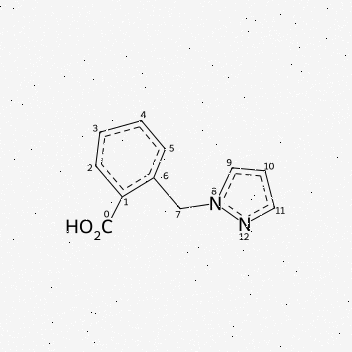 O=C(O)c1ccccc1Cn1cccn1